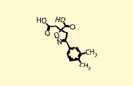 Cc1ccc(C2=NOC(CC(=O)O)(C(=O)O)C2)cc1C